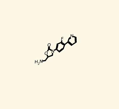 NCC1CN(c2ccc(-c3cccnc3)c(F)c2)C(=O)O1